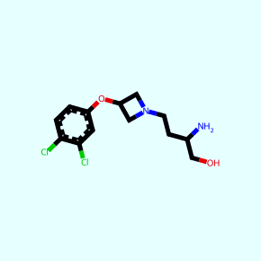 NC(CO)CCN1CC(Oc2ccc(Cl)c(Cl)c2)C1